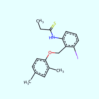 CCC(=S)Nc1cccc(I)c1COc1ccc(C)cc1C